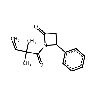 C=CC(C)(C)C(=O)N1C(=O)CC1c1ccccc1